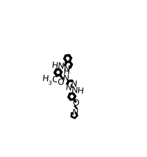 Cc1ccc(Nc2nccc3ccccc23)cc1C(=O)Nc1cnc(Nc2cccc(OCCN3CCCC3)c2)nc1